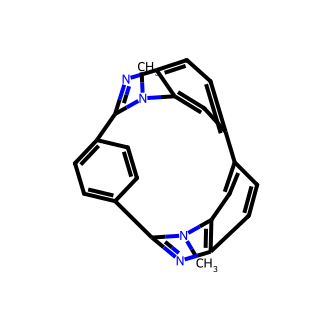 Cn1c2nc3ccc(cc31)-c1ccc3nc(n(C)c3c1)-c1ccc-2cc1